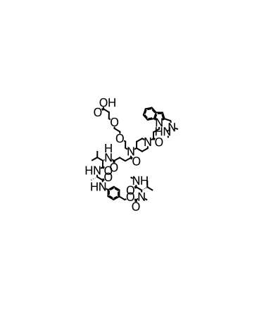 CNC(=O)[C@H](C(C)C)N(C)C(=O)OCc1ccc(NC(=O)[C@H](C)NC(=O)[C@@H](NC(=O)CCC(=O)N(CCOCCOCCC(=O)O)C2CCN(C(=O)CCn3c(CN(C)NC)cc4ccccc43)CC2)C(C)C)cc1